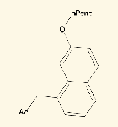 CCCCCOc1ccc2cccc(CC(C)=O)c2c1